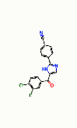 N#Cc1ccc(-c2ncc(C(=O)c3ccc(Cl)c(Cl)c3)[nH]2)cc1